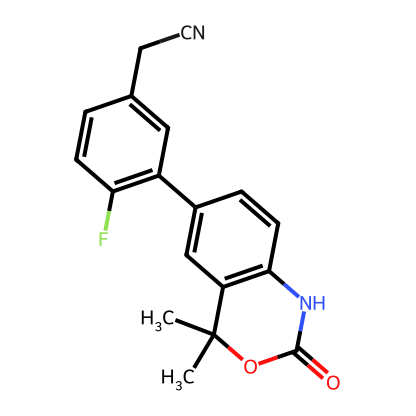 CC1(C)OC(=O)Nc2ccc(-c3cc(CC#N)ccc3F)cc21